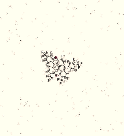 Fc1c(F)c(N(c2c(F)c(F)c(C(F)(F)F)c(F)c2F)c2c(F)c(F)c(C(F)(F)F)c(F)c2F)c(F)c(N(c2c(F)c(F)c(C(F)(F)F)c(F)c2F)c2c(F)c(F)c(C(F)(F)F)c(F)c2F)c1F